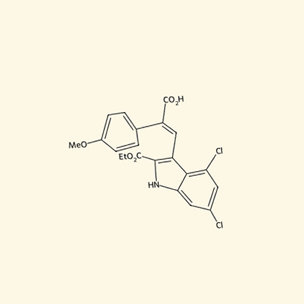 CCOC(=O)c1[nH]c2cc(Cl)cc(Cl)c2c1/C=C(/C(=O)O)c1ccc(OC)cc1